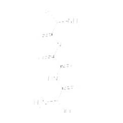 CC(C)C(N)C(=O)NC(=O)C(=O)NC(=O)C(N)C(C)C